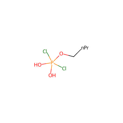 CCCCOP(O)(O)(Cl)Cl